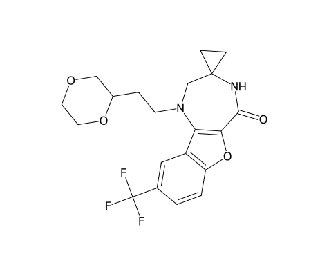 O=C1NC2(CC2)CN(CCC2COCCO2)c2c1oc1ccc(C(F)(F)F)cc21